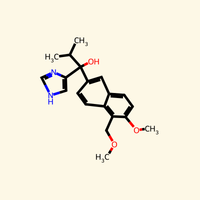 COCc1c(OC)ccc2cc(C(O)(c3c[nH]cn3)C(C)C)ccc12